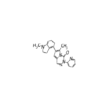 Cc1c(-c2cccc3c2CCN3C)cc2cnn(-c3ccccn3)c(=O)n12